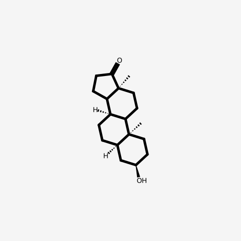 C[C@]12CCC3[C@@H](CC[C@@H]4C[C@H](O)CC[C@]34C)C1CCC2=O